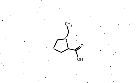 CCN1CSCC1C(=O)O